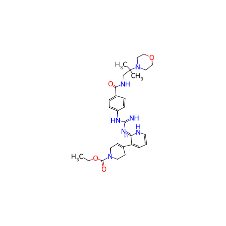 CCOC(=O)N1CC=C(c2ccc[nH]/c2=N\C(=N)Nc2ccc(C(=O)NCC(C)(C)N3CCOCC3)cc2)CC1